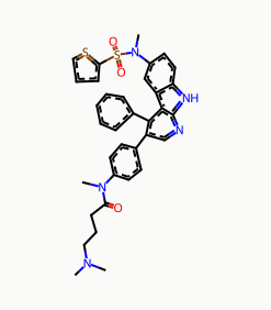 CN(C)CCCC(=O)N(C)c1ccc(-c2cnc3[nH]c4ccc(N(C)S(=O)(=O)c5cccs5)cc4c3c2-c2ccccc2)cc1